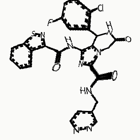 O=C1Cn2c(C(=O)NCc3ccnnc3)nc(NC(=O)c3nsc4ccccc34)c2C(c2cc(F)ccc2Cl)N1